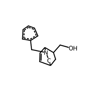 OCC1CC2C=CC1N(Cc1ccccc1)C2